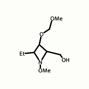 CCC1C(OCOC)C(CO)N1OC